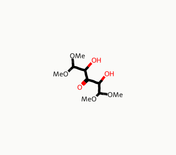 COC(OC)C(O)C(=O)C(O)C(OC)OC